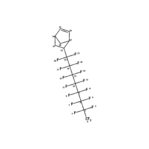 FC(F)(F)C(F)(F)C(F)(F)C(F)(F)C(F)(F)C(F)(F)C(F)(F)C(F)(F)C1CC2C=CC1C2